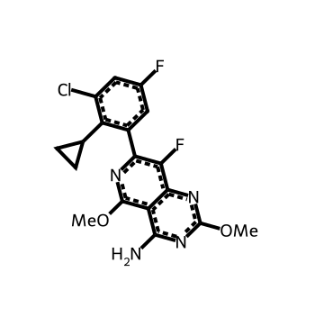 COc1nc(N)c2c(OC)nc(-c3cc(F)cc(Cl)c3C3CC3)c(F)c2n1